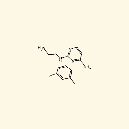 Cc1cccc(C)c1.NCCNc1nccc(N)n1